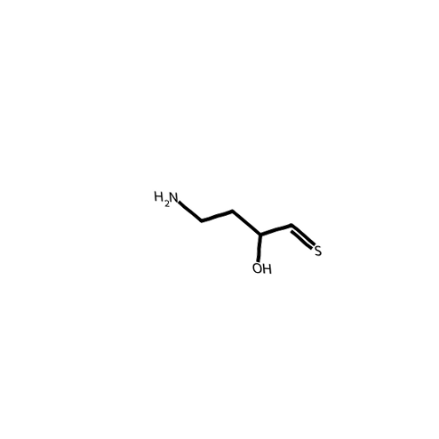 NCCC(O)C=S